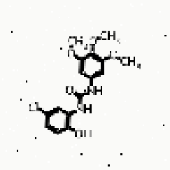 COc1cc(NC(=O)Nc2cc(Cl)ccc2O)cc(OC)c1OC